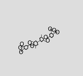 Cc1cc(-c2cc(C)c(OC(=O)c3ccc4c(c3)C(=O)OC4=O)c(C)c2)cc(C)c1OC(=O)c1ccc2c(c1)C(=O)OC2=O